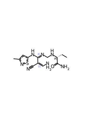 CC[C@@H](NC/N=C(Nc1cc(C)ns1)\C(C#N)=C/N)C(N)=O